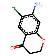 Nc1cc2c(cc1Cl)C(=O)CCO2